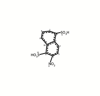 O=[N+]([O-])c1ccc2c(S(=O)(=O)O)cccc2c1S(=O)(=O)O